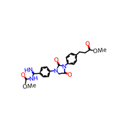 COC(=O)CCc1ccc(N2C(=O)CN(c3ccc(C(=N)NC(=O)OC)cc3)C2=O)cc1